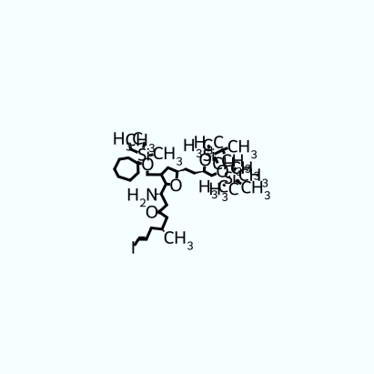 CC[Si](CC)(CC)C1(OCC2C[C@@H](CC[C@H](CO[Si](C)(C)C(C)(C)C)O[Si](C)(C)C(C)(C)C)OC2[C@@H](N)CC(=O)C[C@H](C)C/C=C/I)CCCCCC1